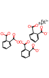 O=C([O-])c1ccccc1C(=O)[O-].O=C([O-])c1ccccc1C(=O)[O-].O=C([O-])c1ccccc1C(=O)[O-].[Fe+3].[Fe+3]